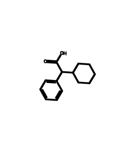 O=C(O)C(c1ccccc1)C1CCCCC1